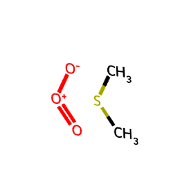 CSC.O=[O+][O-]